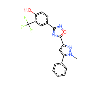 Cn1nc(-c2nc(-c3ccc(O)c(C(F)(F)F)c3)no2)cc1-c1ccccc1